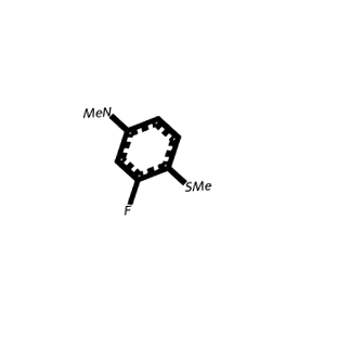 CNc1ccc(SC)c(F)c1